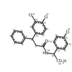 O=C(CC(c1ccccc1)c1ccc(Cl)c(Cl)c1)NC(C(=O)O)c1ccc(Cl)cc1